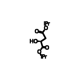 CC(C)OC(=O)C[C@H](O)C(=O)OC(C)C